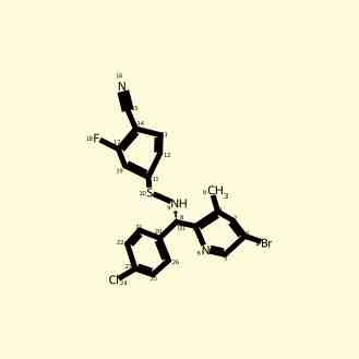 Cc1cc(Br)cnc1[C@@H](NSc1ccc(C#N)c(F)c1)c1ccc(Cl)cc1